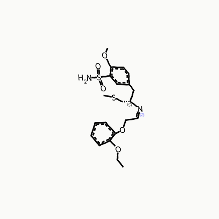 CCOc1ccccc1OC/C=N\[C@H](CSC)Cc1ccc(OC)c(S(N)(=O)=O)c1